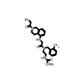 COC(=O)NCCN(Cc1ccccc1C(F)(F)F)C(=O)CNc1cccc2c1CCN(C(=O)CC(C)C)C2